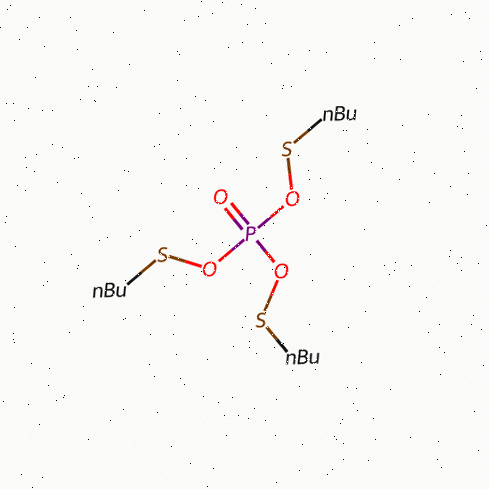 CCCCSOP(=O)(OSCCCC)OSCCCC